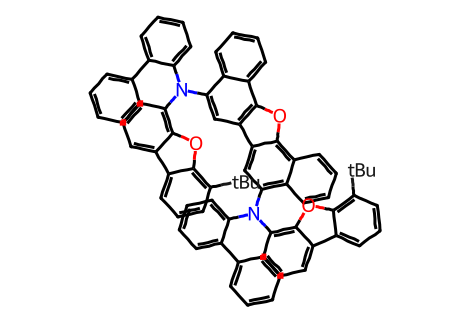 CC(C)(C)c1cccc2c1oc1c(N(c3ccccc3-c3ccccc3)c3cc4c5cc(N(c6ccccc6-c6ccccc6)c6cccc7c6oc6c(C(C)(C)C)cccc67)c6ccccc6c5oc4c4ccccc34)cccc12